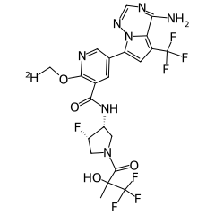 [2H]COc1ncc(-c2cc(C(F)(F)F)c3c(N)ncnn23)cc1C(=O)N[C@@H]1CN(C(=O)C(C)(O)C(F)(F)F)C[C@@H]1F